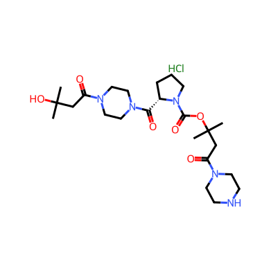 CC(C)(O)CC(=O)N1CCN(C(=O)[C@@H]2CCCN2C(=O)OC(C)(C)CC(=O)N2CCNCC2)CC1.Cl